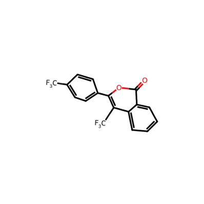 O=c1oc(-c2ccc(C(F)(F)F)cc2)c(C(F)(F)F)c2ccccc12